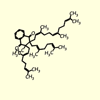 CC(C)=CCCC(C)=CCCC(C)=CCC1(C/C=C(\C)CCC=C(C)C)C(=O)c2ccccc2C(=O)C1(C)C/C=C(\C)CCC=C(C)C